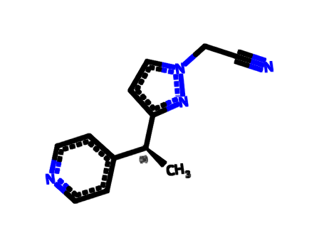 C[C@@H](c1ccncc1)c1ccn(CC#N)n1